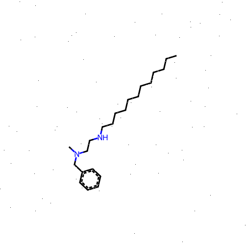 CCCCCCCCCCCCNCCN(C)Cc1ccccc1